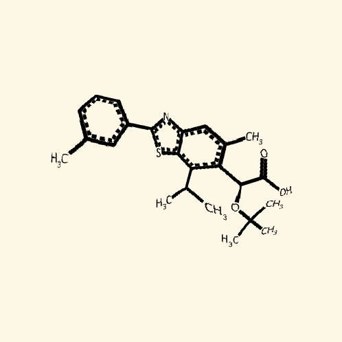 Cc1cccc(-c2nc3cc(C)c([C@H](OC(C)(C)C)C(=O)O)c(C(C)C)c3s2)c1